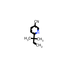 C=CC(C)(C)c1ccc(C#N)cn1